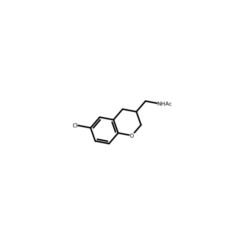 CC(=O)NCC1COc2ccc(Cl)cc2C1